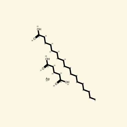 CCCCCCCCCCCCCCCCCC(=O)O.O=C(O)CCCC(=O)O.[Ag]